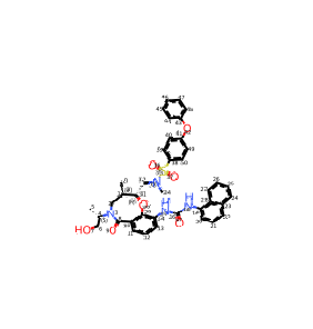 C[C@@H]1CN([C@@H](C)CO)C(=O)c2cccc(NC(=O)Nc3cccc4ccccc34)c2O[C@H]1CN(C)S(=O)(=O)c1ccc(Oc2ccccc2)cc1